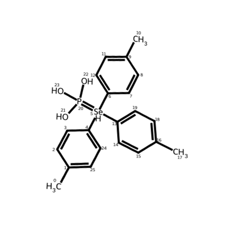 Cc1ccc([SeH](c2ccc(C)cc2)(c2ccc(C)cc2)=P(O)(O)O)cc1